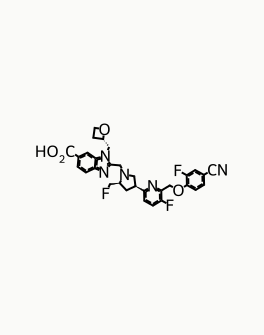 N#Cc1ccc(OCc2nc([C@H]3C[C@@H](CF)N(Cc4nc5ccc(C(=O)O)cc5n4C[C@@H]4CCO4)C3)ccc2F)c(F)c1